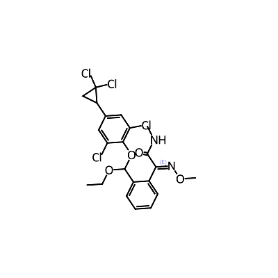 CCOC(Oc1c(Cl)cc(C2CC2(Cl)Cl)cc1Cl)c1ccccc1/C(=N\OC)C(=O)NC